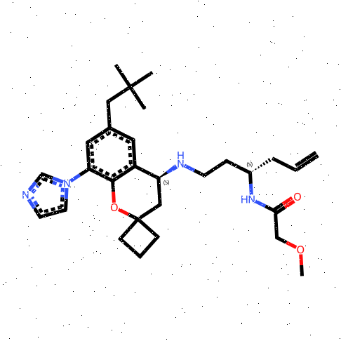 C=CC[C@@H](CCN[C@H]1CC2(CCC2)Oc2c1cc(CC(C)(C)C)cc2-n1ccnc1)NC(=O)COC